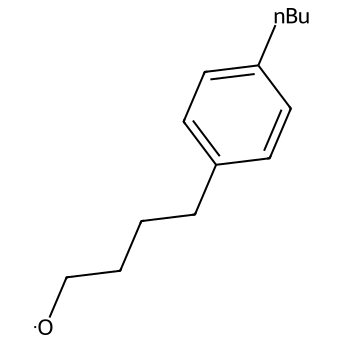 CCCCc1ccc(CCCC[O])cc1